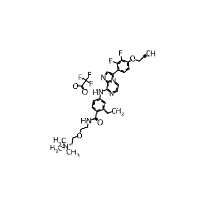 C#CCOc1ccc(-c2cnc3c(Nc4ccc(C(=O)NCCOCC[N+](C)(C)C)c(CC)c4)nccn23)c(F)c1F.O=C([O-])C(F)(F)F